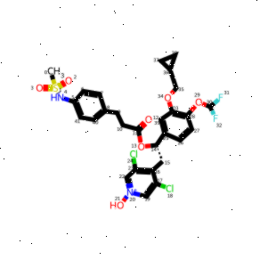 CS(=O)(=O)Nc1ccc(CCC(=O)O[C@@H](Cc2c(Cl)c[n+](O)cc2Cl)c2ccc(OC(F)F)c(OCC3CC3)c2)cc1